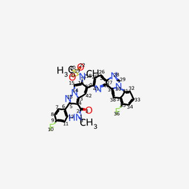 CNC(=O)c1c(-c2ccc(F)cc2)nn2cc(N(C)S(C)(=O)=O)c(-c3ccc4ncn5c6cccc(F)c6cc5c4n3)cc12